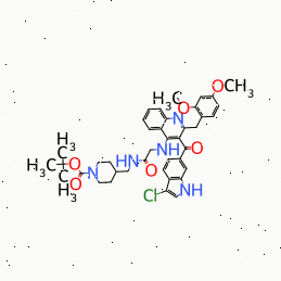 COc1ccc(Cc2nc3ccccc3c(NCC(=O)NCC3CCN(C(=O)OC(C)(C)C)CC3)c2C(=O)c2ccc3c(Cl)c[nH]c3c2)c(OC)c1